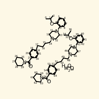 CC(C)Oc1ccccc1N1CCN(CCCCc2ccc(C(=O)N3CCCCC3)cc2)CC1.CC(C)Oc1ccccc1N1CCN(CCCCc2ccc(C(=O)N3CCCCC3)cc2)CC1.O.O